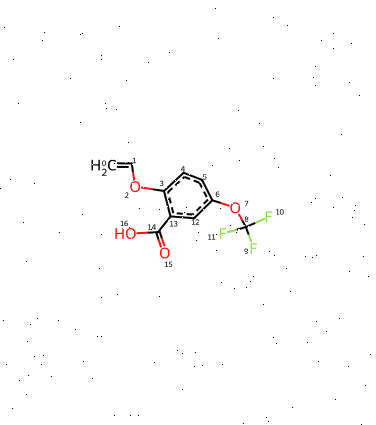 C=COc1ccc(OC(F)(F)F)cc1C(=O)O